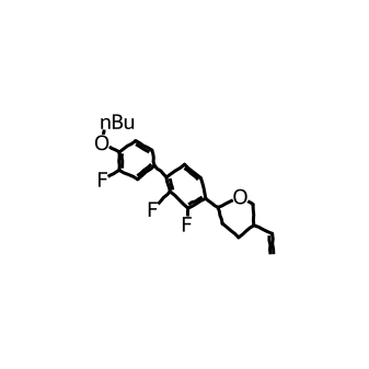 C=CC1CCC(c2ccc(-c3ccc(OCCCC)c(F)c3)c(F)c2F)OC1